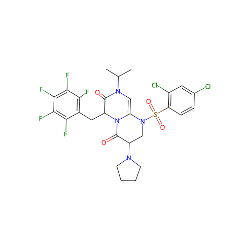 CC(C)N1C=C2N(C(=O)C(N3CCCC3)CN2S(=O)(=O)c2ccc(Cl)cc2Cl)C(Cc2c(F)c(F)c(F)c(F)c2F)C1=O